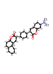 CCN(CC)c1ccc2cc(-c3ccc(-c4cc5c(ccc6ccccc65)oc4=O)cc3)c(=O)oc2c1